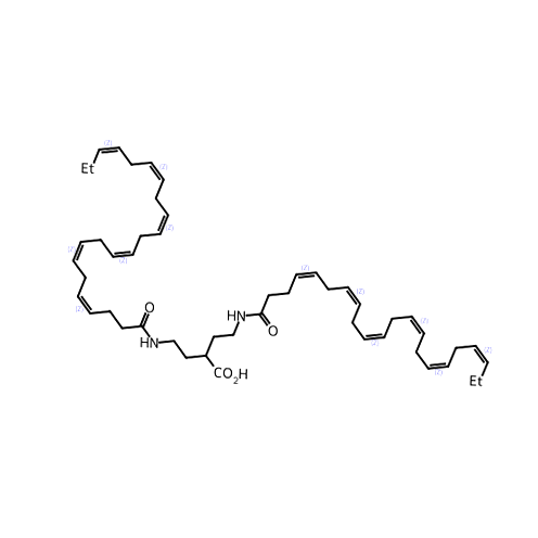 CC/C=C\C/C=C\C/C=C\C/C=C\C/C=C\C/C=C\CCC(=O)NCCC(CCNC(=O)CC/C=C\C/C=C\C/C=C\C/C=C\C/C=C\C/C=C\CC)C(=O)O